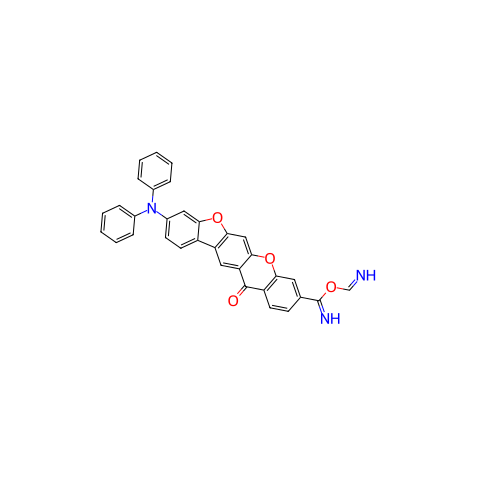 N=COC(=N)c1ccc2c(=O)c3cc4c(cc3oc2c1)oc1cc(N(c2ccccc2)c2ccccc2)ccc14